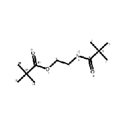 CC(C)(C)C(=O)NCCOC(=O)C(C)(C)C